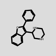 c1ccc(-c2oc3ccccc3c2C2CNCCN2)cc1